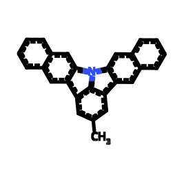 Cc1cc2c3cc4ccccc4cc3n3c4cc5ccccc5cc4c(c1)c23